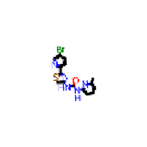 Cc1cccc(NC(=O)Nc2csc(-c3ccc(Br)cn3)n2)n1